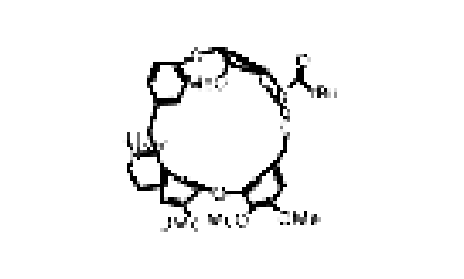 COc1cc2c3cc1Oc1ccc(cc1)C[C@H]1c4cc(c(OC)cc4CCN1C)Oc1cc(cc(OC)c1OC)CCN(CC3)N2C(=O)C(C)(C)C